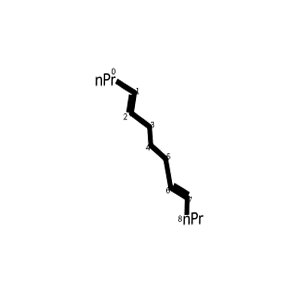 CCCC=CCCCC=CCCC